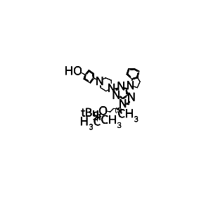 C[C@@H](CCO[Si](C)(C)C(C)(C)C)n1cnc2c(N3CCc4ccccc43)nc(N3CCN(c4ccc(O)cc4)CC3)nc21